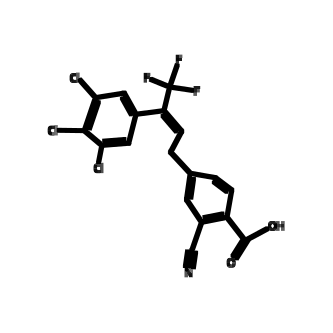 N#Cc1cc(C/C=C(\c2cc(Cl)c(Cl)c(Cl)c2)C(F)(F)F)ccc1C(=O)O